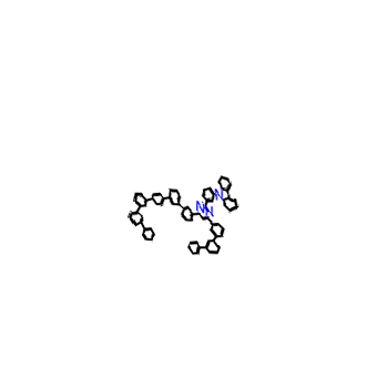 c1ccc(-c2cccc(-c3cccc(-c4ccc(-c5cccc(-c6cccc(-c7cc(-c8cccc(-c9cccc(-c%10ccccc%10)c9)c8)nc(-c8cccc(-n9c%10ccccc%10c%10ccccc%109)c8)n7)c6)c5)cc4)c3)c2)cc1